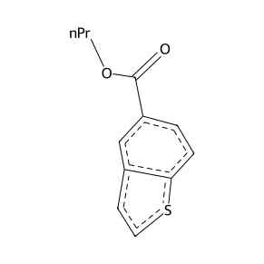 CCCOC(=O)c1ccc2sccc2c1